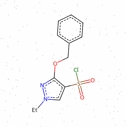 CCn1cc(S(=O)(=O)Cl)c(OCc2ccccc2)n1